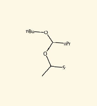 CCCCOC(CCC)OC(C)[S]